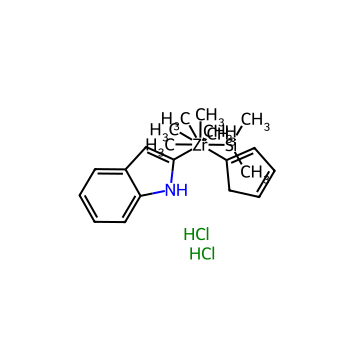 C[SiH](C)[Zr]([CH3])([CH3])([CH3])([CH3])([CH3])([CH3])([C]1=CC=CC1)[c]1cc2ccccc2[nH]1.Cl.Cl